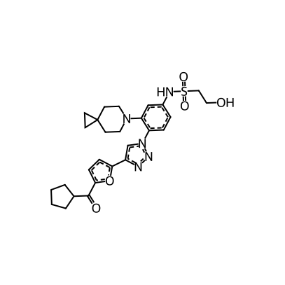 O=C(c1ccc(-c2cn(-c3ccc(NS(=O)(=O)CCO)cc3N3CCC4(CC3)CC4)nn2)o1)C1CCCC1